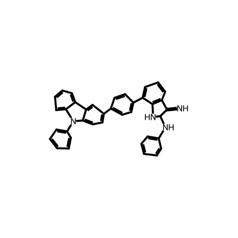 N=C1c2cccc(-c3ccc(-c4ccc5c(c4)c4ccccc4n5-c4ccccc4)cc3)c2NC1Nc1ccccc1